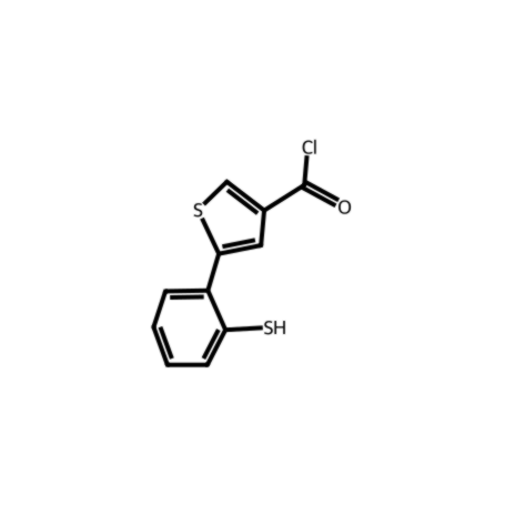 O=C(Cl)c1csc(-c2ccccc2S)c1